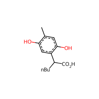 CCCCC(C(=O)O)c1cc(O)c(C)cc1O